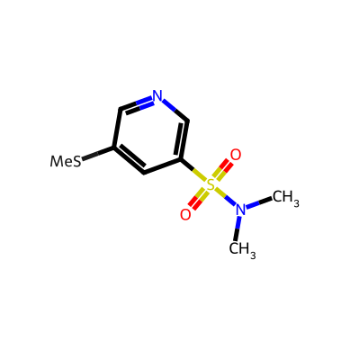 CSc1cncc(S(=O)(=O)N(C)C)c1